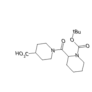 CC(C)(C)OC(=O)N1CCCCC1C(=O)N1CCC(C(=O)O)CC1